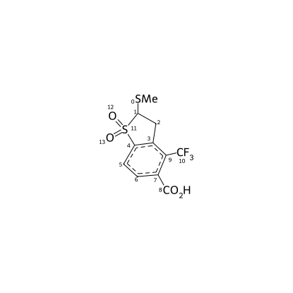 CSC1Cc2c(ccc(C(=O)O)c2C(F)(F)F)S1(=O)=O